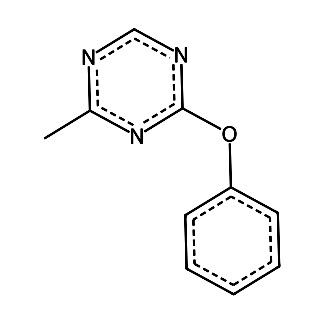 Cc1ncnc(Oc2ccccc2)n1